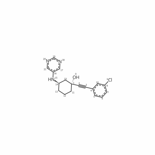 O[C@]1(C#Cc2cccc(Cl)c2)CCC[C@@H](Nc2cncnc2)C1